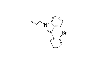 C=CCn1cc(-c2ccccc2Br)c2ccccc21